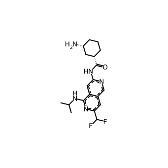 CC(C)Nc1nc(C(F)F)cc2cnc(NC(=O)[C@H]3CCC[C@@H](N)C3)cc12